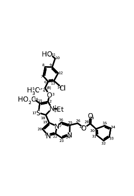 CCN1C(O[C@H](C)c2ccc(CO)cc2Cl)=C(C(=O)O)SC1c1cnc2cnc(COC(=O)c3ccccc3)cn12